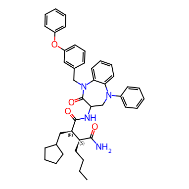 CCCC[C@H](C(N)=O)[C@@H](CC1CCCC1)C(=O)NC1CN(c2ccccc2)c2ccccc2N(Cc2cccc(Oc3ccccc3)c2)C1=O